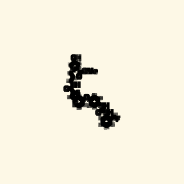 COC(=O)[C@H]1C[C@H](O)CN1CCCNC(=O)c1cc2nccc(Oc3ccc(NC(=O)Nc4ccccc4CF)cc3)c2s1